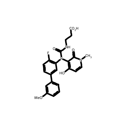 COc1cccc(-c2ccc(F)c(N(C(=O)NCCC(=O)O)c3c(O)ccn(C)c3=O)c2)c1